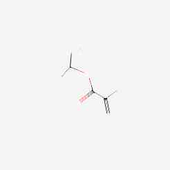 C=C(F)C(=O)OC(OC)C(F)(F)F